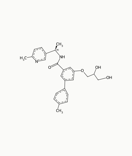 Cc1ccc(-c2cc(OCC(O)CO)cc(C(=O)N[C@H](C)c3ccc(C)nc3)c2)cc1